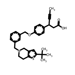 CC#CC(CC(=O)O)c1ccc(OCc2cccc(CN3CCc4sc(C(C)(C)C)cc4C3)c2)cc1